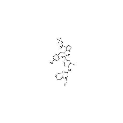 COc1ccc(CN(c2scnc2C(=O)OC(C)(C)C)S(=O)(=O)c2ccc(NC(=O)CN(C=S)N3CCOCC3)c(F)c2)cc1